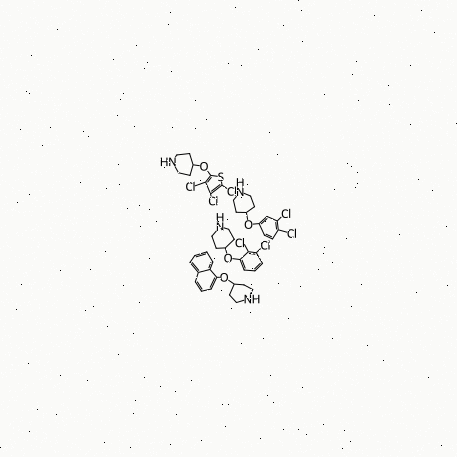 Clc1ccc(OC2CCNCC2)cc1Cl.Clc1cccc(OC2CCNCC2)c1Cl.Clc1sc(OC2CCNCC2)c(Cl)c1Cl.c1ccc2c(OC3CCNCC3)cccc2c1